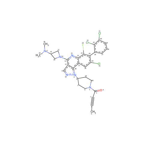 CC#CC(=O)N1CCC(n2ncc3c(N4CC(N(C)C)C4)nc4c(F)c(-c5cccc(Cl)c5Cl)c(Cl)cc4c32)CC1